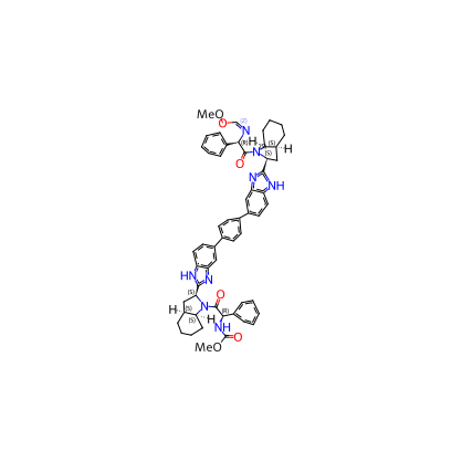 COO/C=N\[C@@H](C(=O)N1[C@H](c2nc3cc(-c4ccc(-c5ccc6[nH]c([C@@H]7C[C@@H]8CCCC[C@@H]8N7C(=O)[C@H](NC(=O)OC)c7ccccc7)nc6c5)cc4)ccc3[nH]2)C[C@@H]2CCCC[C@@H]21)c1ccccc1